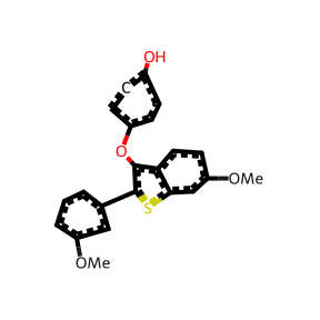 COc1cccc(-c2sc3cc(OC)ccc3c2Oc2ccc(O)cc2)c1